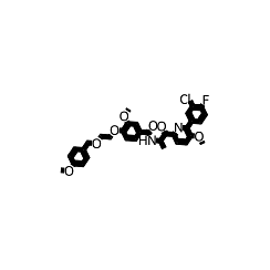 COc1ccc(COCCOc2ccc(C(=O)NC(C)C(=O)c3ccc(OC)c(-c4ccc(F)c(Cl)c4)n3)cc2OC)cc1